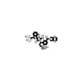 CC(C)CC[C@]1(c2ccccc2)NC(=N)N([C@@H]2CCS(O)(O)c3ccc(C(=O)N4Cc5nccnc5C4)cc32)C1=O